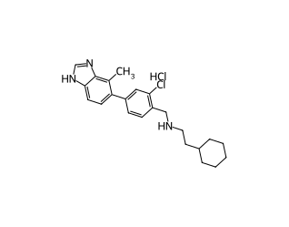 Cc1c(-c2ccc(CNCCC3CCCCC3)c(Cl)c2)ccc2[nH]cnc12.Cl